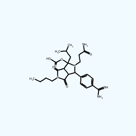 CCCCN1C(=O)C2C(c3ccc(C(=N)N)cc3)N(CCC(N)=O)C(CC(C)C)(OC(=O)O)C2C1=O